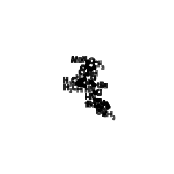 CNC(=O)C(=O)C(CC(F)(F)F)NC(=O)[C@@H]1[C@@H]2[C@H](CN1C(=O)[C@@H](NC(=O)N[C@H](CN1CCN(C)S1(=O)=O)C(C)(C)C)C(C)(C)C)C2(C)C